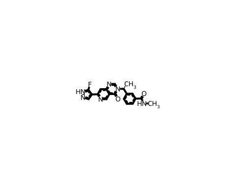 CNC(=O)c1cccc([C@@H](C)n2cnc3cc(-c4cn[nH]c4F)ncc3c2=O)c1